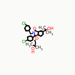 CC(C)(O)CCO[C@]1(c2ccc(Cl)cc2)c2ccc(C(C)(C)O)cc2C(=O)N1Cc1ccc(Cl)cc1